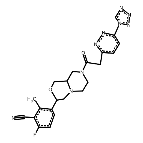 Cc1c(C2CN3CCN(C(=O)Cc4ccc(-n5cnnn5)nn4)CC3CO2)ccc(F)c1C#N